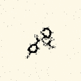 CCCC(=O)ON(C(=O)c1ccc(F)cc1)c1ccccn1